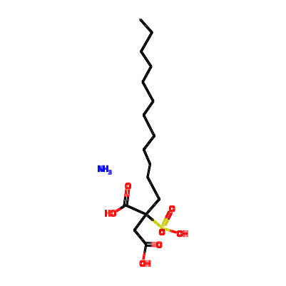 CCCCCCCCCCCCC(CC(=O)O)(C(=O)O)S(=O)(=O)O.N